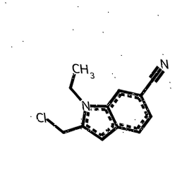 CCn1c(CCl)cc2ccc(C#N)cc21